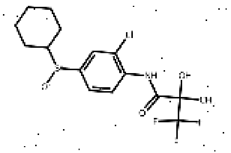 CC(O)(C(=O)Nc1ccc([S+]([O-])C2CCCCC2)cc1Cl)C(F)(F)F